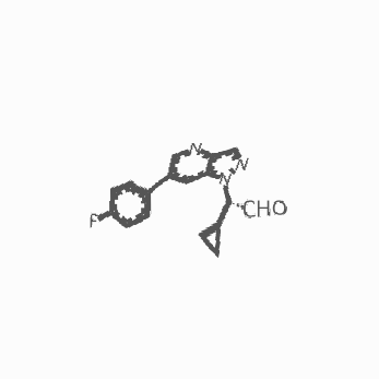 O=C[C@H](C1CC1)n1ncc2ncc(-c3ccc(F)cc3)cc21